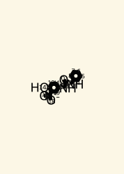 O=C(Nc1ccccc1)Nc1ccc(O)c([N+](=O)[O-])c1